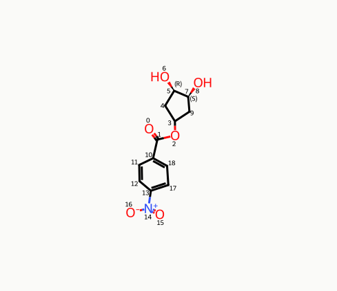 O=C(OC1C[C@@H](O)[C@@H](O)C1)c1ccc([N+](=O)[O-])cc1